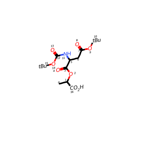 CC(OC(=O)C(CC(=O)OC(C)(C)C)NC(=O)OC(C)(C)C)C(=O)O